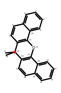 CCc1ccc2ccccc2c1Oc1c(CC)ccc2ccccc12